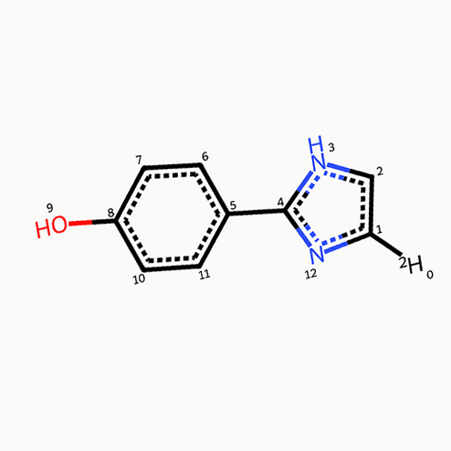 [2H]c1c[nH]c(-c2ccc(O)cc2)n1